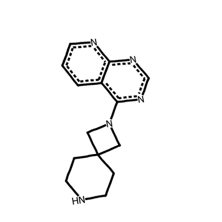 c1cnc2ncnc(N3CC4(CCNCC4)C3)c2c1